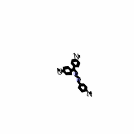 CN(C)c1ccc(/C=C/C=C/C(=C2C=CC(=[N+](C)C)C=C2)c2ccc(N(C)C)cc2)cc1